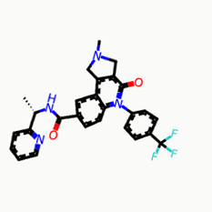 C[C@H](NC(=O)c1ccc2c(c1)c1c(c(=O)n2-c2ccc(C(F)(F)F)cc2)CN(C)C1)c1ccccn1